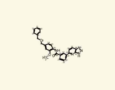 COc1cc(COCc2ccccc2)ccc1NC(=O)c1cccc(-c2ccc3nn[nH]c3n2)c1